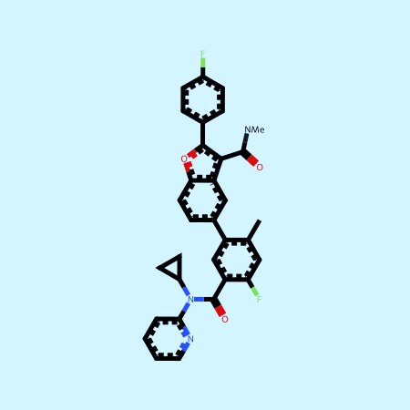 CNC(=O)c1c(-c2ccc(F)cc2)oc2ccc(-c3cc(C(=O)N(c4ccccn4)C4CC4)c(F)cc3C)cc12